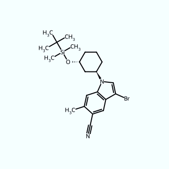 Cc1cc2c(cc1C#N)c(Br)cn2[C@@H]1CCC[C@@H](O[Si](C)(C)C(C)(C)C)C1